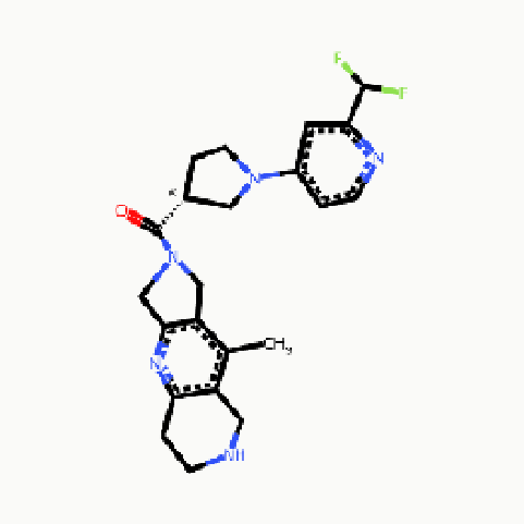 Cc1c2c(nc3c1CN(C(=O)[C@@H]1CCN(c4ccnc(C(F)F)c4)C1)C3)CCNC2